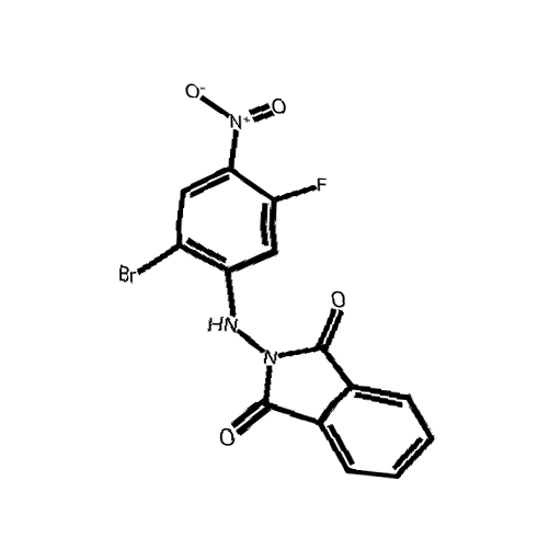 O=C1c2ccccc2C(=O)N1Nc1cc(F)c([N+](=O)[O-])cc1Br